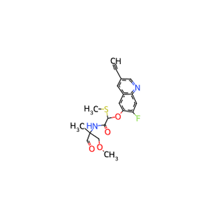 C#Cc1cnc2cc(F)c(OC(SC)C(=O)NC(C)(C=O)COC)cc2c1